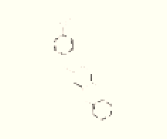 COc1ccc(CC2C=C3Sc4ccccc4CC3=CC2)cc1